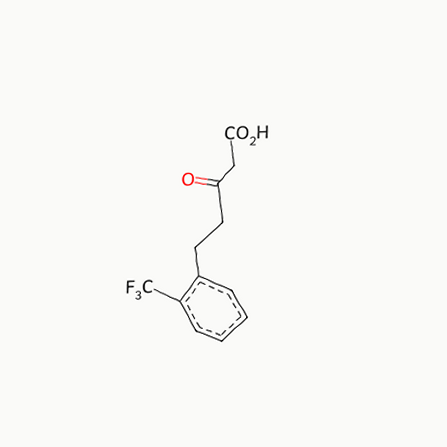 O=C(O)CC(=O)CCc1ccccc1C(F)(F)F